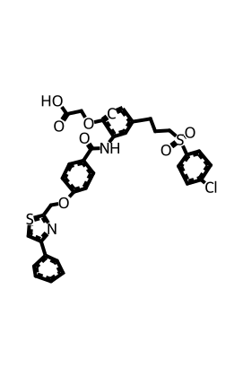 O=C(O)COc1ccc(CCCS(=O)(=O)c2ccc(Cl)cc2)cc1NC(=O)c1ccc(OCc2nc(-c3ccccc3)cs2)cc1